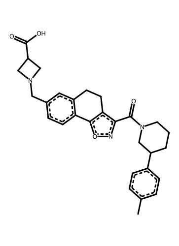 Cc1ccc(C2CCCN(C(=O)c3noc4c3CCc3cc(CN5CC(C(=O)O)C5)ccc3-4)C2)cc1